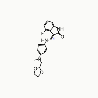 CN(CC1OCCO1)c1ccc(N/C=C2/C(=O)Nc3cccc(F)c32)cc1